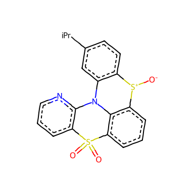 CC(C)c1ccc2c(c1)N1c3ncccc3S(=O)(=O)c3cccc(c31)[S+]2[O-]